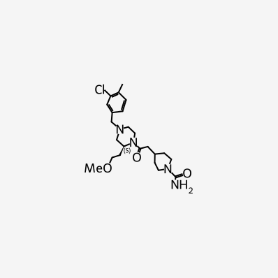 COCC[C@H]1CN(Cc2ccc(C)c(Cl)c2)CCN1C(=O)CC1CCN(C(N)=O)CC1